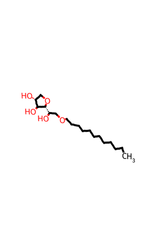 CCCCCCCCCCCCOCC(O)[C@H]1OC[C@@H](O)C1O